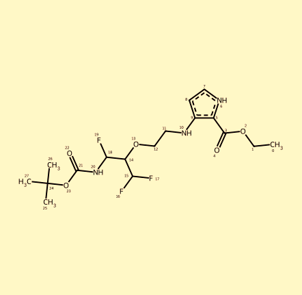 CCOC(=O)c1[nH]ccc1NCCOC(C(F)F)C(F)NC(=O)OC(C)(C)C